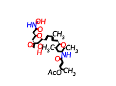 CC(=O)OC(C)C=CC(=O)N[C@@H]1C[C@H](C)[C@H](CC=C(C)C=C[C@H]2O[C@H](CC(=O)NO)C[C@@]3(CO3)[C@@H]2O)O[C@@H]1C